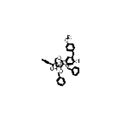 CC#CC(O)[C@@]12CO[C@@](c3ccc(Cl)c(Cc4ccc(OCC)cc4)c3)(O1)[C@H](OCc1ccccc1)[C@@H](OCc1ccccc1)[C@@H]2C